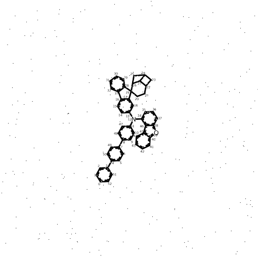 c1ccc(-c2ccc(-c3ccc(N(c4ccc5c(c4)C4(CCC6CC7CC4C67)c4ccccc4-5)c4cccc5oc6ccccc6c45)cc3)cc2)cc1